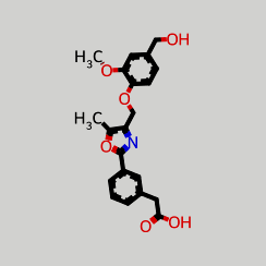 COc1cc(CO)ccc1OCc1nc(-c2cccc(CC(=O)O)c2)oc1C